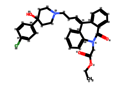 CCOC(=O)CN1C(=O)c2ccccc2/C(=C/CCN2CCC(O)(c3ccc(Cl)cc3)CC2)c2ccccc21